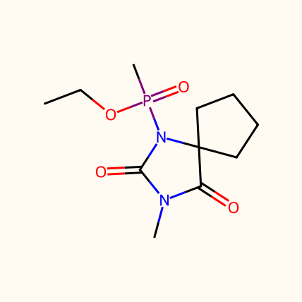 CCOP(C)(=O)N1C(=O)N(C)C(=O)C12CCCC2